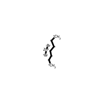 C[CH]CCCCC.[Br][Zn][Br]